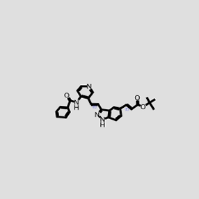 CC(C)(C)OC(=O)/C=C/c1ccc2[nH]nc(/C=C/c3cnccc3NC(=O)c3ccccc3)c2c1